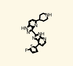 Fc1ccc(-c2ccnc3[nH]c(-c4n[nH]c5ccc(C6CCNCC6)nc45)nc23)s1